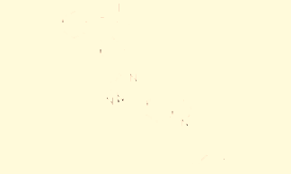 O=C([O-])CCn1ccc2cc(-c3noc(-c4cc(-c5ccccc5)c(C(F)(F)F)s4)n3)ccc21.[Na+]